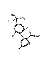 COC(=O)c1ncc(F)cc1-c1c(F)cc(C(C)(C)O)cc1F